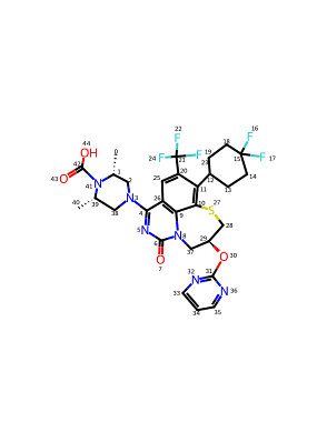 C[C@@H]1CN(c2nc(=O)n3c4c(c(C5CCC(F)(F)CC5)c(C(F)(F)F)cc24)SC[C@@H](Oc2ncccn2)C3)C[C@H](C)N1C(=O)O